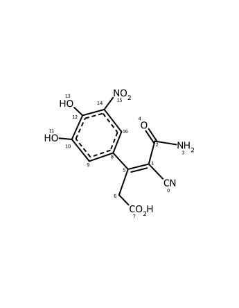 N#CC(C(N)=O)=C(CC(=O)O)c1cc(O)c(O)c([N+](=O)[O-])c1